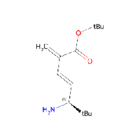 C=C(C=C[C@H](N)C(C)(C)C)C(=O)OC(C)(C)C